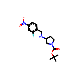 CC(C)(C)OC(=O)N1CCC(NCc2ccc([N+](=O)[O-])cc2F)C1